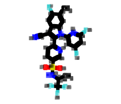 Cc1cc2c(cc1F)c(C#N)c(-c1ccc(S(=O)(=O)N[C@@H](C)C(F)(F)F)cn1)n2-c1cc(F)cc(F)n1